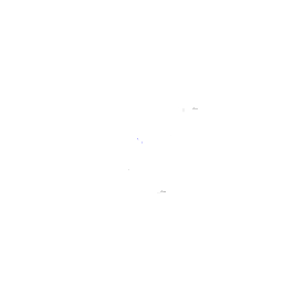 CCCCCCCC(=O)N(CC)C(=O)CCCCC